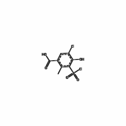 Cc1c(C(=O)O)cc(Cl)c(O)c1S(=O)(=O)Cl